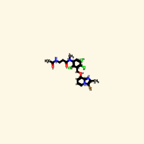 CC(=O)NCCC(=O)N(C)c1ccc(Cl)c(COc2cccn3c(Br)c(C)nc23)c1Cl.Cl